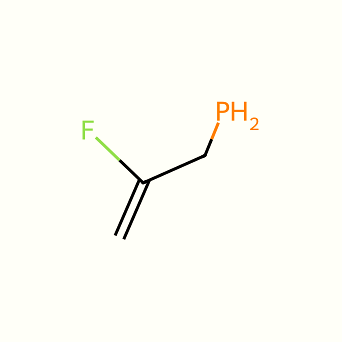 C=C(F)CP